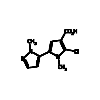 Cn1nccc1-c1cc(C(=O)O)c(Cl)n1C